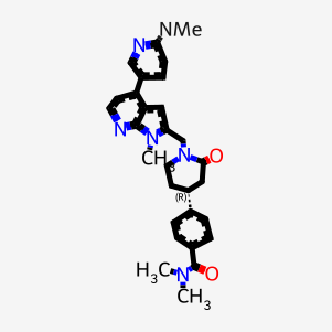 CNc1ccc(-c2ccnc3c2cc(CN2CC[C@@H](c4ccc(C(=O)N(C)C)cc4)CC2=O)n3C)cn1